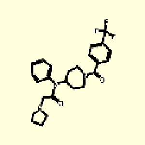 O=C(c1ccc(C(F)(F)F)cc1)N1CCC(N(C(=O)CN2CCCC2)c2ccccc2)CC1